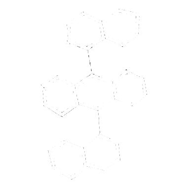 c1ccc2c(-c3c4ccccc4c(-c4nccc5ccccc45)c4cnccc34)cccc2c1